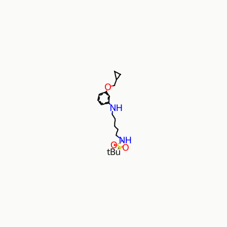 CC(C)(C)S(=O)(=O)NCCCCCNc1cccc(OCC2CC2)c1